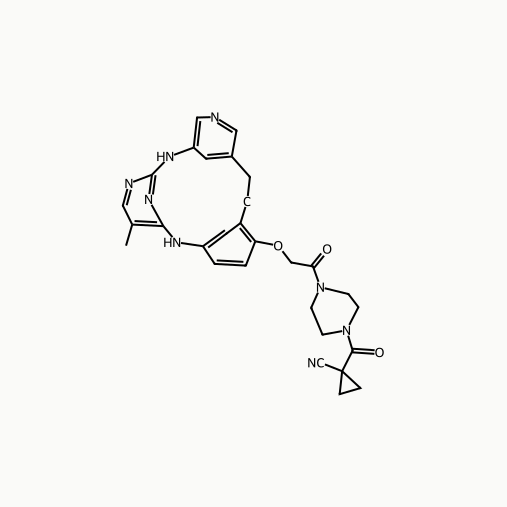 Cc1cnc2nc1Nc1ccc(OCC(=O)N3CCN(C(=O)C4(C#N)CC4)CC3)c(c1)CCc1cncc(c1)N2